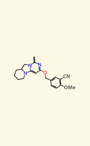 C=C1N=C(OCc2ccc(OC)c(C#N)c2)C=C2N1CC1CCCCN21